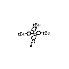 C#CCOc1ccc(C(c2ccc(C(C)(C)C)cc2)(c2ccc(C(C)(C)C)cc2)c2ccc(C(C)(C)C)cc2)cc1